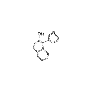 Oc1ccc2ccccc2c1-c1cccnc1